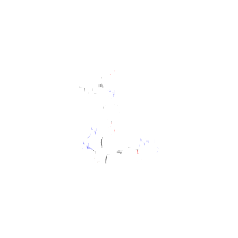 C[C@@H]1COCCN1C1CCC(Oc2ncnc3sc4c(c23)[C@@H](CC(N)=O)CC4)CC1